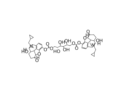 O=C(OC[C@@H](O)[C@@H](O)[C@H](O)[C@@H](O)COC(=O)Oc1ccc2c3c1O[C@H]1C(=O)CC[C@@]4(O)[C@@H](C2)N(CC2CC2)CC[C@]314)Oc1ccc2c3c1O[C@H]1C(=O)CC[C@@]4(O)[C@@H](C2)N(CC2CC2)CC[C@]314